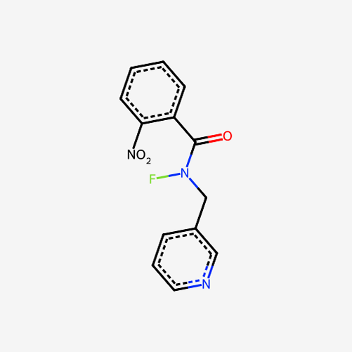 O=C(c1ccccc1[N+](=O)[O-])N(F)Cc1cccnc1